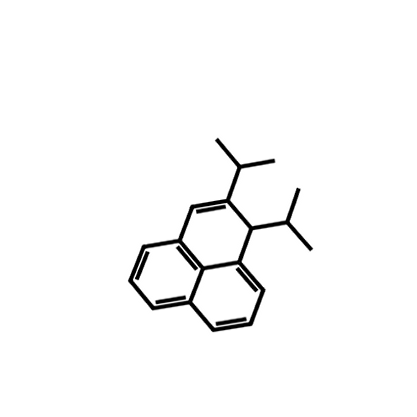 CC(C)C1=Cc2cccc3cccc(c23)C1C(C)C